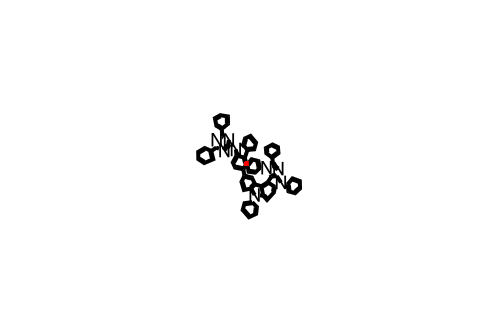 c1ccc(-c2nc(-c3ccccc3)nc(-n3c4ccccc4c4cc(-c5ccc6c(c5)c5c7c8c(nc(-c9ccccc9)n8-c8ccccc8)n(-c8ccccc8)c7ccc5n6-c5ccccc5)ccc43)n2)cc1